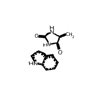 C=C1NC(=O)NC1=O.c1ccc2[nH]ccc2c1